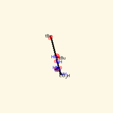 CC(C)(C)OC(=O)CCCCCCCCCCCCCCCCC(=O)N[C@@H](CCC(=O)NCCCC[C@H](NC(=O)OC(C)(C)C)C(=O)NCCCC[C@H](N)C(=O)O)C(=O)OC(C)(C)C